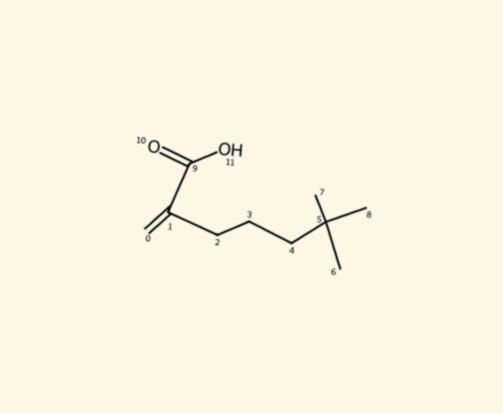 C=C(CCCC(C)(C)C)C(=O)O